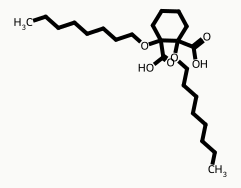 CCCCCCCCOC1(C(=O)O)CCCCC1(OCCCCCCCC)C(=O)O